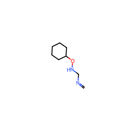 C=NCNOC1CCCCC1